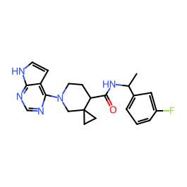 CC(NC(=O)C1CCN(c2ncnc3[nH]ccc23)CC12CC2)c1cccc(F)c1